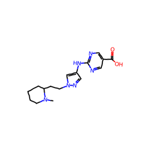 CN1CCCCC1CCn1cc(Nc2ncc(C(=O)O)cn2)cn1